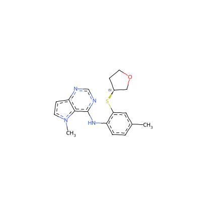 Cc1ccc(Nc2ncnc3ccn(C)c23)c(S[C@H]2CCOC2)c1